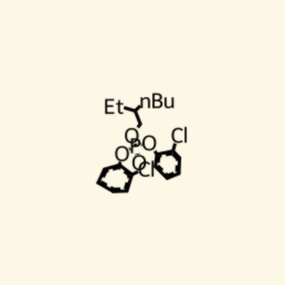 CCCCC(CC)COP(=O)(Oc1ccccc1Cl)Oc1ccccc1Cl